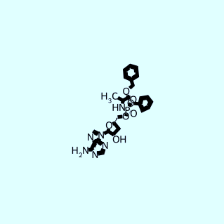 CC(NP(=O)(OC[C@@H]1CC(O)C(n2cnc3c(N)ncnc32)O1)Oc1ccccc1)C(=O)OCc1ccccc1